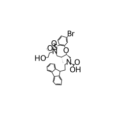 C[C@@H]1CN([C@@H](C)CO)S(=O)(=O)c2ccc(Br)cc2O[C@H]1CN(CCC1c2ccccc2-c2ccccc21)C(=O)O